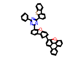 c1ccc(-c2nc(-c3cccc4c3oc3ccc(-c5ccc6c7ccccc7c7cccc8oc5c6c87)cc34)nc(-c3cccc4c3sc3ccccc34)n2)cc1